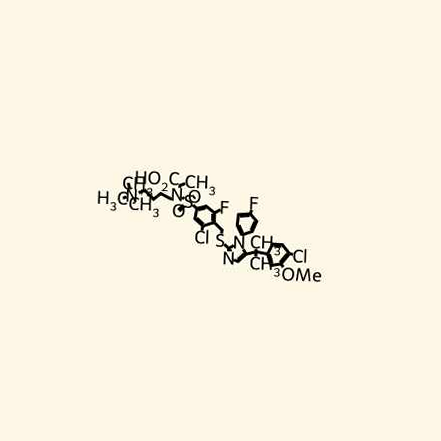 COc1cc(C(C)(C)c2cnc(SCc3c(F)cc(S(=O)(=O)N(CCCC[N+](C)(C)C)C(C)C(=O)O)cc3Cl)n2-c2ccc(F)cc2)ccc1Cl